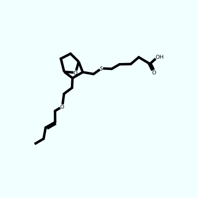 CC/C=C/COCCC1C2CCC(O2)C1CSCCCCC(=O)O